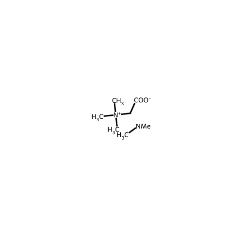 CNC.C[N+](C)(C)CC(=O)[O-]